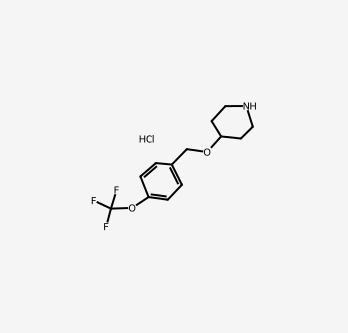 Cl.FC(F)(F)Oc1ccc(COC2CCNCC2)cc1